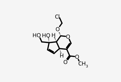 COC(=O)C1=CO[C@@H](OCCl)[C@H]2[C@@H]1C=C[C@@]2(O)CO